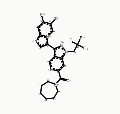 O=C(c1cc2c(cn1)c(-c1cnc3cc(F)c(Cl)cn13)nn2CC(F)(F)F)N1CCCCCC1